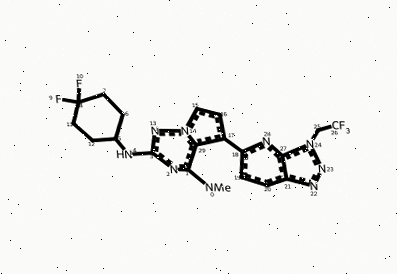 CNc1nc(NC2CCC(F)(F)CC2)nn2ccc(-c3ccc4nnn(CC(F)(F)F)c4n3)c12